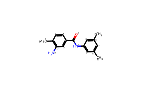 COc1ccc(C(=O)Nc2cc(C)cc(C)c2)cc1N